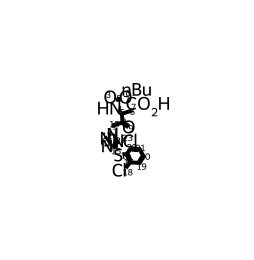 CCCCOC(=O)NC(CC(=O)O)C(=O)Cn1nnc(Sc2c(Cl)cccc2Cl)n1